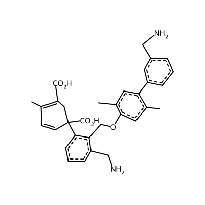 CC1=C(C(=O)O)CC(C(=O)O)(c2cccc(CN)c2COc2cc(C)c(-c3cccc(CN)c3)cc2C)C=C1